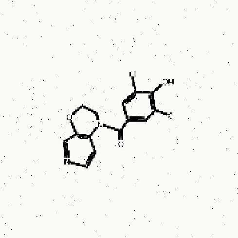 O=C(c1cc(Cl)c(O)c(Cl)c1)N1CCOc2cnccc21